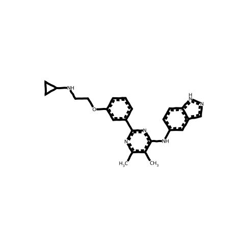 Cc1nc(-c2cccc(OCCNC3CC3)c2)nc(Nc2ccc3[nH]ncc3c2)c1C